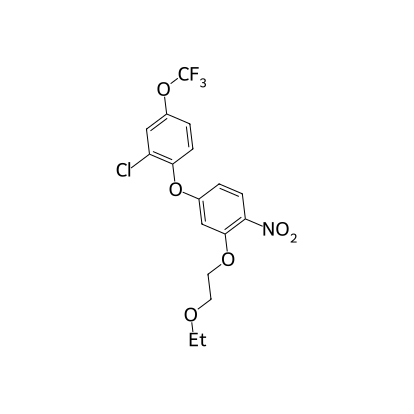 CCOCCOc1cc(Oc2ccc(OC(F)(F)F)cc2Cl)ccc1[N+](=O)[O-]